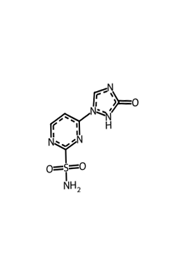 NS(=O)(=O)c1nccc(-n2cnc(=O)[nH]2)n1